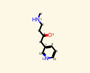 CNCCC(=O)Cc1cccnc1